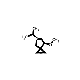 COC1CN(C(C)C)CC12CC2